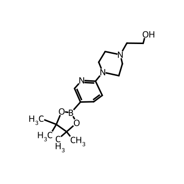 CC1(C)OB(c2ccc(N3CCN(CCO)CC3)nc2)OC1(C)C